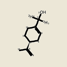 [2H]C([2H])(O)C1=CC[C@@H](C(=C)C)CC1